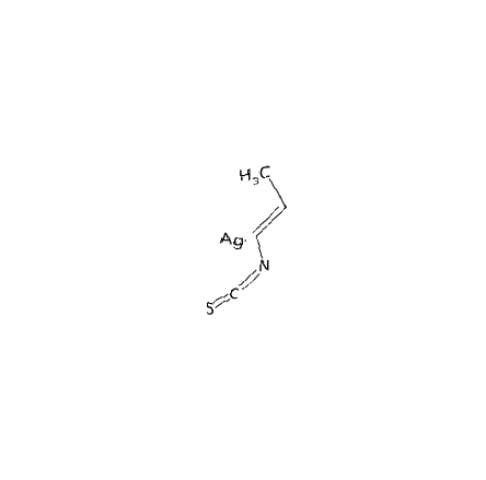 CC=CN=C=S.[Ag]